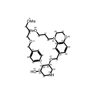 COCCCOCc1ccc([C@H]2[C@H](O)CNC[C@@H]2OCc2ccc3c(c2)N(CCCOC)CCO3)cc1